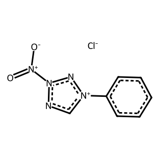 O=[N+]([O-])n1nc[n+](-c2ccccc2)n1.[Cl-]